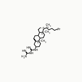 CC(C)CCC[C@@H](C)[C@H]1CCC2C3CC=C4CC(NC(=N)NC(=N)N)CC[C@]4(C)C3CC[C@@]21C